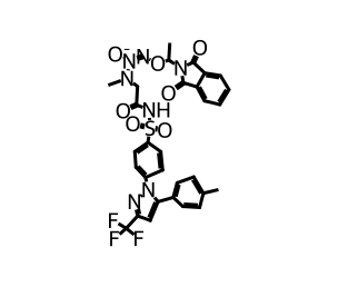 Cc1ccc(-c2cc(C(F)(F)F)nn2-c2ccc(S(=O)(=O)NC(=O)CN(C)/[N+]([O-])=N\OC(C)N3C(=O)c4ccccc4C3=O)cc2)cc1